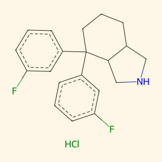 Cl.Fc1cccc(C2(c3cccc(F)c3)CCCC3CNCC32)c1